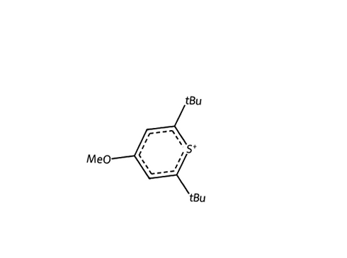 COc1cc(C(C)(C)C)[s+]c(C(C)(C)C)c1